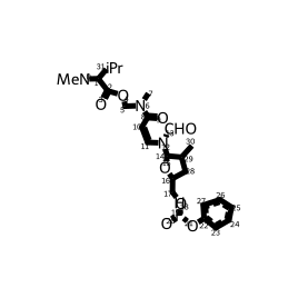 CNC(C(=O)OCN(C)C(=O)/C=C\N(C=O)C1OC(CO[PH](=O)Oc2ccccc2)CC1C)C(C)C